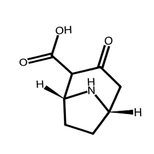 O=C(O)C1C(=O)C[C@@H]2CC[C@H]1N2